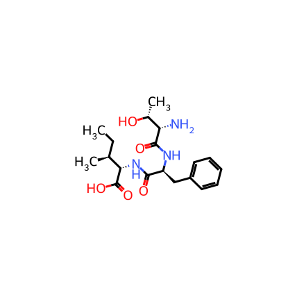 CC[C@H](C)[C@H](NC(=O)[C@H](Cc1ccccc1)NC(=O)[C@@H](N)[C@@H](C)O)C(=O)O